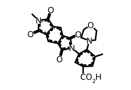 Cc1cc(C(=O)O)cc(-n2c(=O)c3cc4c(=O)n(C)c(=O)c4cc3c2=O)c1N1CCOCC1